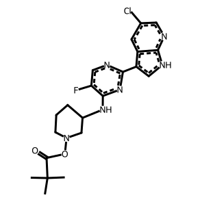 CC(C)(C)C(=O)ON1CCCC(Nc2nc(-c3c[nH]c4ncc(Cl)cc34)ncc2F)C1